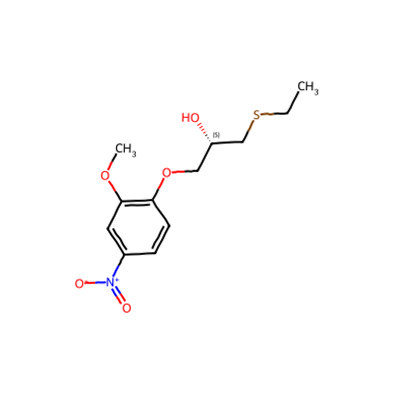 CCSC[C@@H](O)COc1ccc([N+](=O)[O-])cc1OC